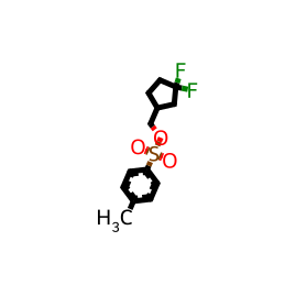 Cc1ccc(S(=O)(=O)OCC2CCC(F)(F)C2)cc1